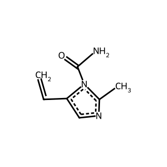 C=Cc1cnc(C)n1C(N)=O